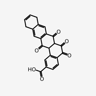 O=C(O)c1ccc2c(c1)C1C(=O)c3cc4c(cc3C(=O)C1C(=O)C2=O)CC=CC4